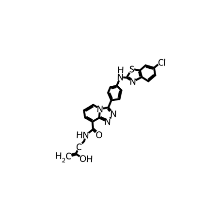 C=C(O)CCNC(=O)c1cccn2c(-c3ccc(Nc4nc5ccc(Cl)cc5s4)cc3)nnc12